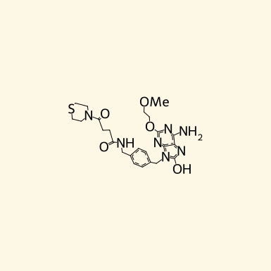 COCCOc1nc(N)c2nc(O)n(Cc3ccc(CNC(=O)CCC(=O)N4CCSCC4)cc3)c2n1